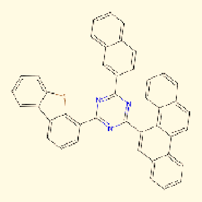 c1ccc2cc(-c3nc(-c4cccc5c4sc4ccccc45)nc(-c4cc5ccccc5c5ccc6ccccc6c45)n3)ccc2c1